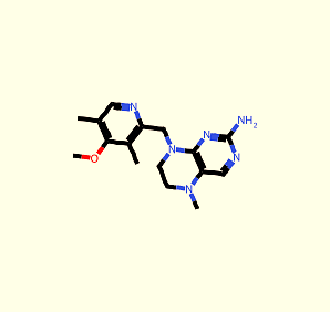 COc1c(C)cnc(CN2CCN(C)c3cnc(N)nc32)c1C